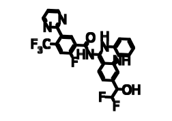 N=C1C=C(C(O)C(F)F)C=C/C1=C(\NC(=O)c1cc(-c2ncccn2)c(C(F)(F)F)cc1F)Nc1ccccc1